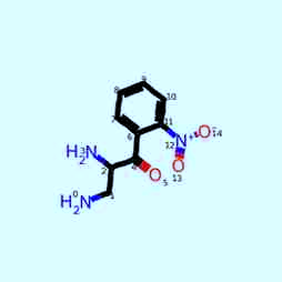 NCC(N)C(=O)c1ccccc1[N+](=O)[O-]